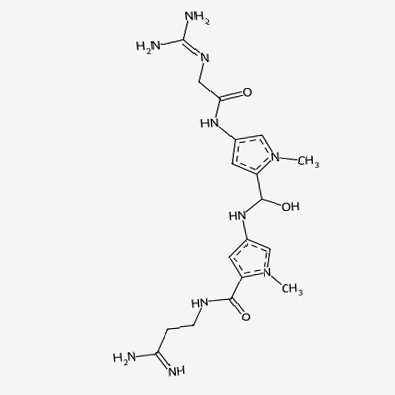 Cn1cc(NC(O)c2cc(NC(=O)CN=C(N)N)cn2C)cc1C(=O)NCCC(=N)N